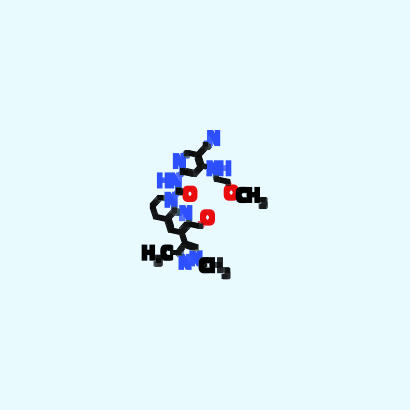 COCCNc1cc(NC(=O)N2CCCc3cc(-c4cn(C)nc4C)c(C=O)nc32)ncc1C#N